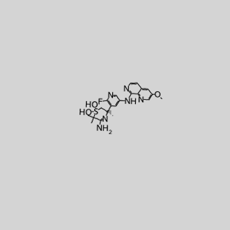 COc1cnc2c(Nc3cnc(F)c([C@]4(C)CS(O)(O)C(C)(C)C(N)=N4)c3)nccc2c1